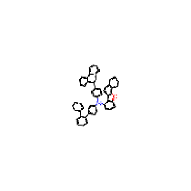 c1ccc(-c2ccccc2-c2ccc(N(c3ccc(-c4cc5ccccc5c5ccccc45)cc3)c3cccc4oc5c6ccccc6ccc5c34)cc2)cc1